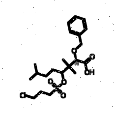 CC(C)CCC(OS(=O)(=O)CCCCl)C(C)(C)[C@@H](OCc1ccccc1)C(=O)O